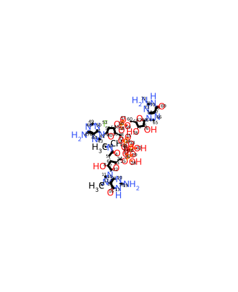 CN(C)C(=O)C[C@H]1[C@@H](O)[C@H](n2c[n+](C)c3c(=O)[nH]c(N)nc32)O[C@@H]1COP(=O)(O)OP(=O)(O)OP(=O)(O)OC[C@H]1O[C@@H](n2cnc3c(N)ncnc32)[C@H](F)[C@@H]1OP(=O)([O-])OC[C@H]1O[C@@H](n2cnc3c(=O)[nH]c(N)nc32)[C@H](O)[C@@H]1O